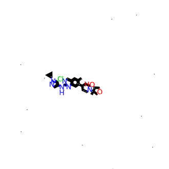 Cc1cc2cnc(Nc3cnn(C4CC4)c3Cl)nc2cc1C1CCN(C2(C)COC[C@H]2O)CC1